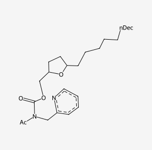 CCCCCCCCCCCCCCCC1CCC(COC(=O)N(Cc2ccccn2)C(C)=O)O1